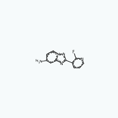 Nc1ccn2nc(-c3cccnc3F)nc2c1